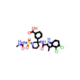 CNC(=O)NS(=O)(=O)N1CCCC(NC(=O)c2[nH]c3ccc(Cl)c(Cl)c3c2C)(c2cccc(C(=O)O)c2)C1